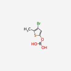 Cc1sc(OB(O)O)cc1Br